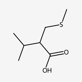 CSCC(C(=O)O)C(C)C